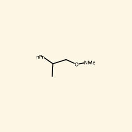 [CH2]NOCC(C)CCC